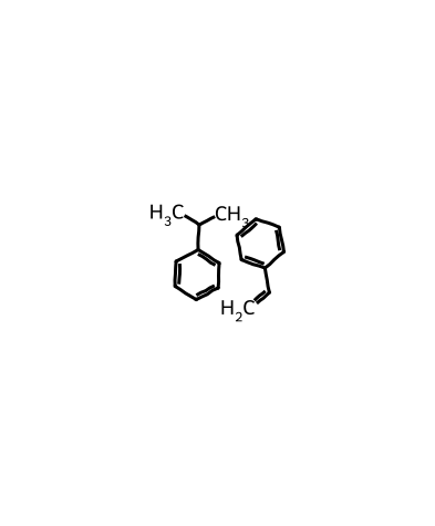 C=Cc1ccccc1.CC(C)c1ccccc1